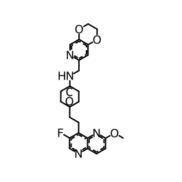 COc1ccc2ncc(F)c(CCC34CCC(NCc5cc6c(cn5)OCCO6)(CC3)CO4)c2n1